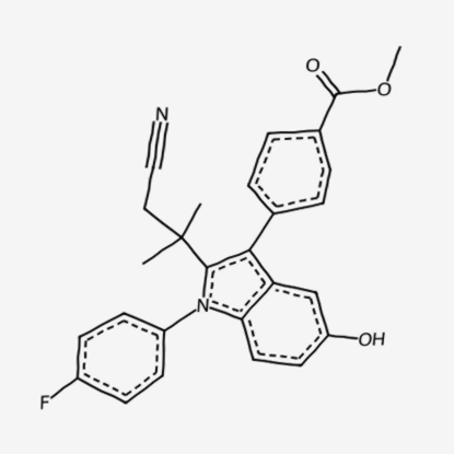 COC(=O)c1ccc(-c2c(C(C)(C)CC#N)n(-c3ccc(F)cc3)c3ccc(O)cc23)cc1